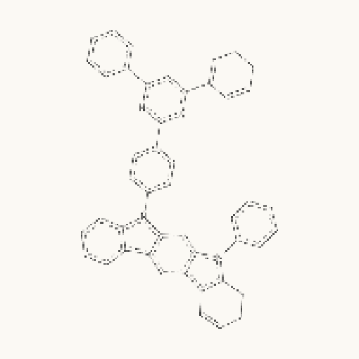 C1=CC(c2cc(-c3ccccc3)nc(-c3ccc(-n4c5ccccc5c5cc6c7c(n(-c8ccccc8)c6cc54)CCC=C7)cc3)n2)=CCC1